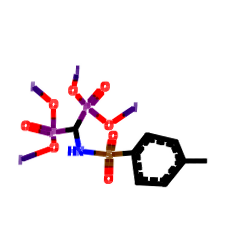 Cc1ccc(S(=O)(=O)NC(P(=O)(OI)OI)P(=O)(OI)OI)cc1